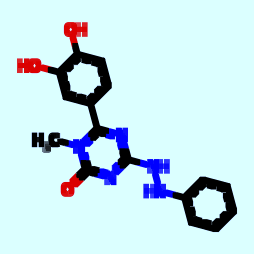 Cn1c(-c2ccc(O)c(O)c2)nc(NNc2ccccc2)nc1=O